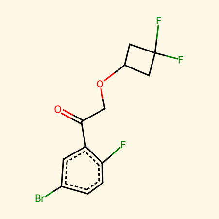 O=C(COC1CC(F)(F)C1)c1cc(Br)ccc1F